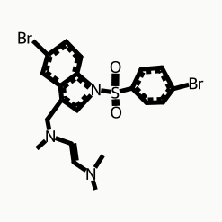 CN(C)C=CN(C)Cc1cn(S(=O)(=O)c2ccc(Br)cc2)c2ccc(Br)cc12